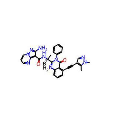 B[C@@](C)(NC(=O)c1c(N)nn2cccnc12)c1nc2cccc(C#Cc3cnn(C)c3C)c2c(=O)n1-c1ccccc1